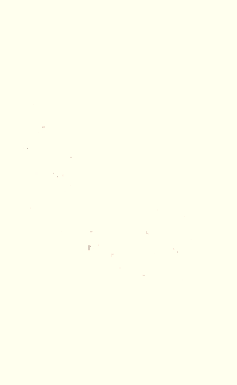 CN1C(=O)COc2cc(Nc3cc(F)c(N4CCC(C(F)(F)F)CC4)c(F)c3)ccc21